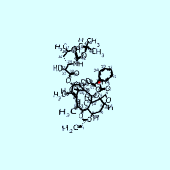 C=C[C@H]1O[C@H]2C[C@H]3OC[C@@]3(OC(C)=O)[C@H]3[C@H](OC(=O)c4ccccc4)[C@]4(O)C[C@H](OC(=O)[C@@H](O)[C@H](CC(C)C)NC(=O)OC(C)(C)C)C(C)=C([C@H](C)[C@H](O1)[C@]23C)C4(C)C